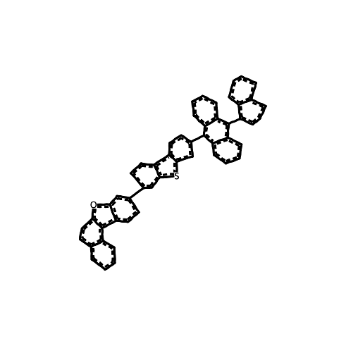 c1ccc2c(-c3c4ccccc4c(-c4ccc5c(c4)sc4cc(-c6ccc7c(c6)oc6ccc8ccccc8c67)ccc45)c4ccccc34)cccc2c1